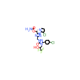 C[C@@H](OC(N)=O)c1nc(Cn2nc(-c3ccc(Cl)cc3)n(C[C@H](O)C(F)(F)F)c2=O)nn1-c1ncccc1Cl